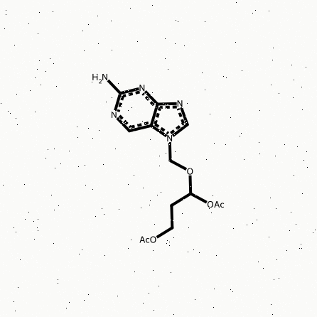 CC(=O)OCCC(OCn1cnc2nc(N)ncc21)OC(C)=O